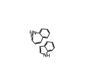 B1=CC=Cc2ccccc2N1.c1ccc2[nH]ccc2c1